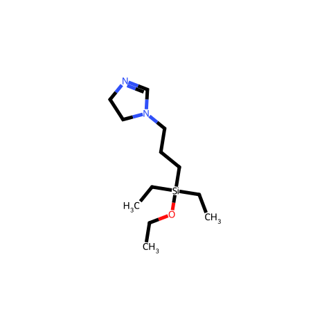 CCO[Si](CC)(CC)CCCN1C=NCC1